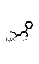 C=C/C(=C\C=C(/CF)OC(F)(F)F)c1ccccc1